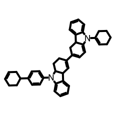 C1=CCC(c2ccc(N3c4ccccc4C4C=C(C5=CC=C6C(C5)c5ccccc5N6C5=CCCCC5)CCC43)cc2)CC1